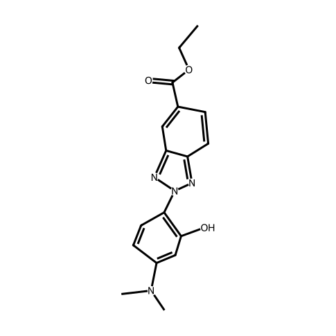 CCOC(=O)c1ccc2nn(-c3ccc(N(C)C)cc3O)nc2c1